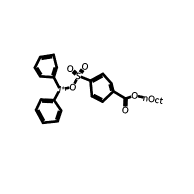 CCCCCCCCOC(=O)c1ccc(S(=O)(=O)O[I+](c2ccccc2)c2ccccc2)cc1